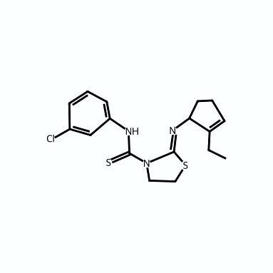 CCC1=CCCC1N=C1SCCN1C(=S)Nc1cccc(Cl)c1